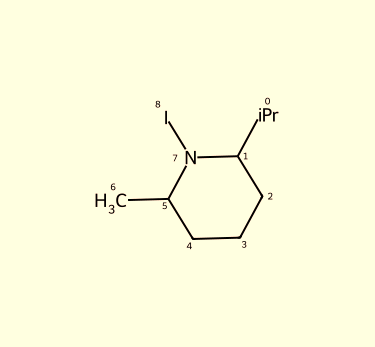 CC(C)C1CCCC(C)N1I